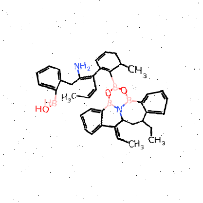 C/C=C\C(C1=C(B2OB3c4ccccc4/C(=C/C)C4CC(CC)c5ccccc5B(O2)N34)C(C)CC=C1)=C(\N)Cc1ccccc1BO